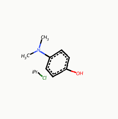 CC(C)Cl.CN(C)c1ccc(O)cc1